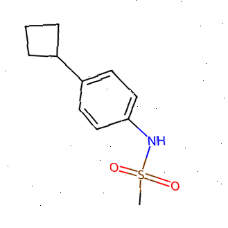 CS(=O)(=O)Nc1ccc(C2CCC2)cc1